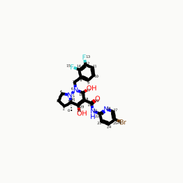 C[C@]12CCCN1N(Cc1cccc(F)c1F)C(O)C(C(=O)Nc1ccc(Br)cn1)=C2O